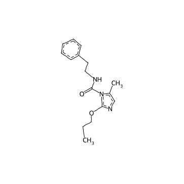 CCCOc1ncc(C)n1C(=O)NCCc1ccccc1